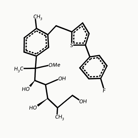 COC(C)(c1ccc(C)c(Cc2ccc(-c3ccc(F)cc3)s2)c1)[C@H](O)C(O)[C@H](O)C(C)CO